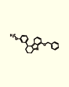 COc1cccc(C2CCCC3=NC4=C(OCc5ccccc5)C=CCC4=C32)c1